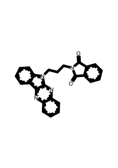 O=C1c2ccccc2C(=O)N1CCCn1c2ccccc2c2nc3ccccc3nc21